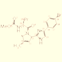 COC(=O)N[C@H](C(=O)N1CC(C)=CC1c1nc(-c2ccc(Br)cc2)c[nH]1)C(C)C